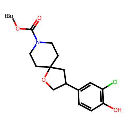 CC(C)(C)OC(=O)N1CCC2(CC1)CC(c1ccc(O)c(Cl)c1)CO2